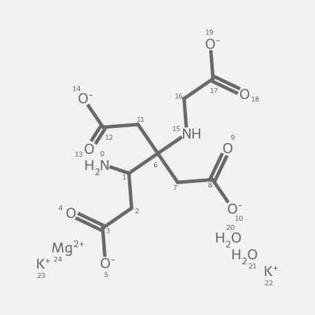 NC(CC(=O)[O-])C(CC(=O)[O-])(CC(=O)[O-])NCC(=O)[O-].O.O.[K+].[K+].[Mg+2]